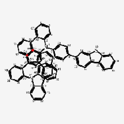 c1ccc(N(c2ccc(-c3ccc4c(c3)sc3ccccc34)cc2)c2ccc(-c3ccccc3-n3c4ccccc4c4ccccc43)cc2)c(-c2cccc3oc4c5ccccc5ccc4c23)c1